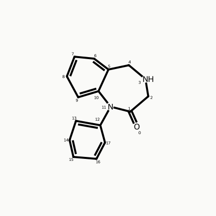 O=C1CNCc2ccccc2N1c1ccccc1